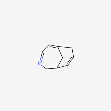 C1=CC2CN=CC=C(C1)C2